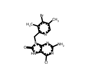 Cc1cnc(Cn2c(=O)[nH]c3c(Cl)nc(N)nc32)c(C)c1Br